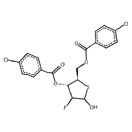 O=C(OC[C@H]1SC(O)C(F)[C@@H]1OC(=O)c1ccc(Cl)cc1)c1ccc(Cl)cc1